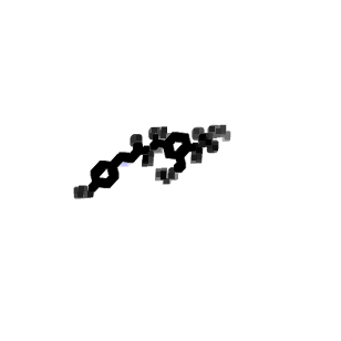 C=Cc1cc([C@@H](C)NC(=O)/C=C/c2ccc(C(C)(C)C)cc2)ccc1NS(C)(=O)=O